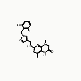 Cc1nc(NCc2cnn(Cc3c(F)cccc3F)c2)nc2c1NC(=O)CN2C